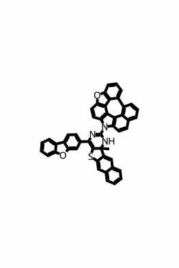 CC12NC(n3c4ccc5cccc6c5c4c4c5c(ccc43)oc3cccc-6c35)=NC(c3ccc4c(c3)oc3ccccc34)=C1Sc1cc3ccccc3cc12